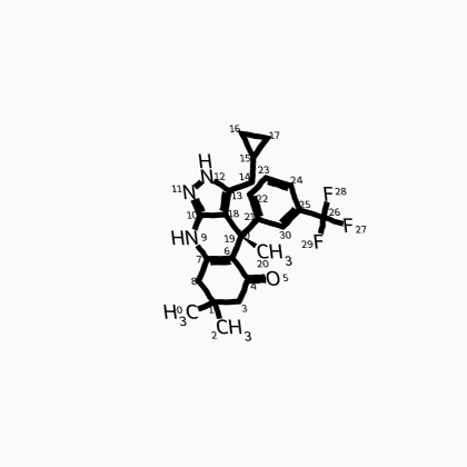 CC1(C)CC(=O)C2=C(C1)Nc1n[nH]c(CC3CC3)c1[C@]2(C)c1cccc(C(F)(F)F)c1